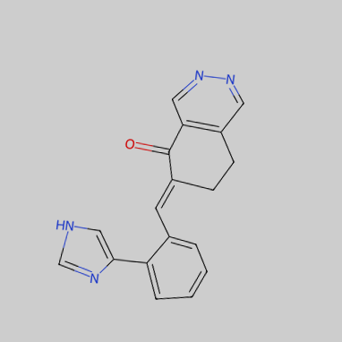 O=C1/C(=C/c2ccccc2-c2c[nH]cn2)CCc2cnncc21